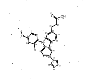 COc1ccc(-n2c3ccc(-n4ccnc4)cc3c3ccc(CCC(=O)O)cc32)c(C)c1